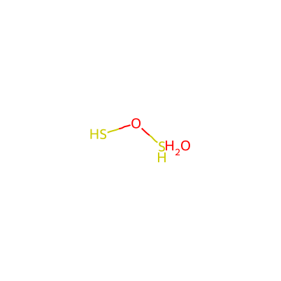 O.SOS